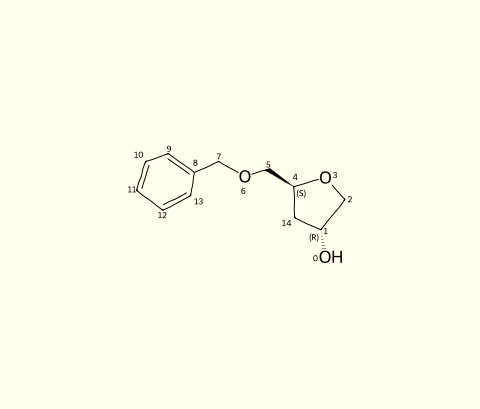 O[C@H]1CO[C@H](COCc2ccccc2)C1